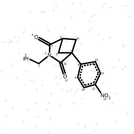 CC(C)CN1C(=O)C2CC(c3ccc([N+](=O)[O-])cc3)(C2)C1=O